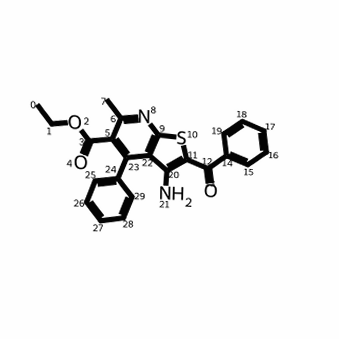 CCOC(=O)c1c(C)nc2sc(C(=O)c3ccccc3)c(N)c2c1-c1ccccc1